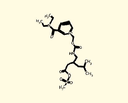 CCN(CC)C(=O)c1ccc[n+](COC(=O)NCC(CC(=O)OS(C)(=O)=O)CC(C)C)c1